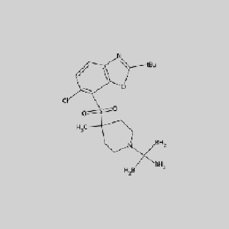 BC(B)(B)N1CCC(C)(S(=O)(=O)c2c(Cl)ccc3nc(C(C)(C)C)oc23)CC1